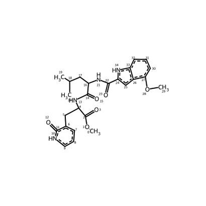 COC(=O)C(Cc1ccc[nH]c1=O)NC(=O)C(CC(C)C)NC(=O)c1cc2c(OC)cccc2[nH]1